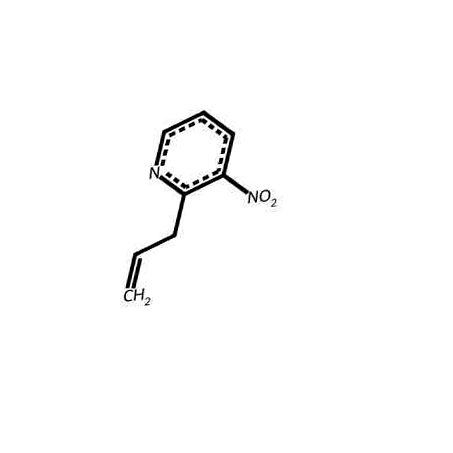 C=CCc1ncccc1[N+](=O)[O-]